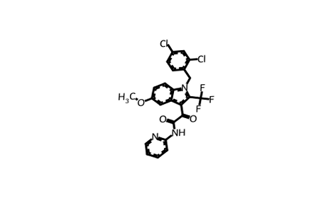 COc1ccc2c(c1)c(C(=O)C(=O)Nc1ccccn1)c(C(F)(F)F)n2Cc1ccc(Cl)cc1Cl